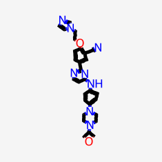 N#Cc1cc(-c2nccc(Nc3ccc(N4CCN(C5COC5)CC4)cc3)n2)ccc1OCCn1ccnc1